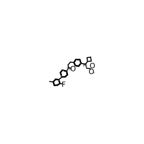 COC(=O)C[C@@H](c1ccc2c(c1)O[C@@H](c1ccc(-c3cc(C)ccc3F)cc1)CC2)C1CCC1